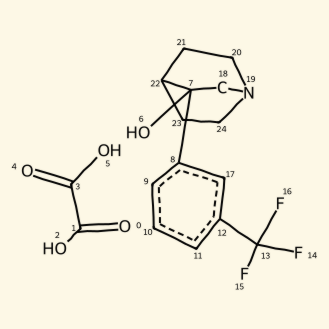 O=C(O)C(=O)O.OC1(c2cccc(C(F)(F)F)c2)CN2CCC1CC2